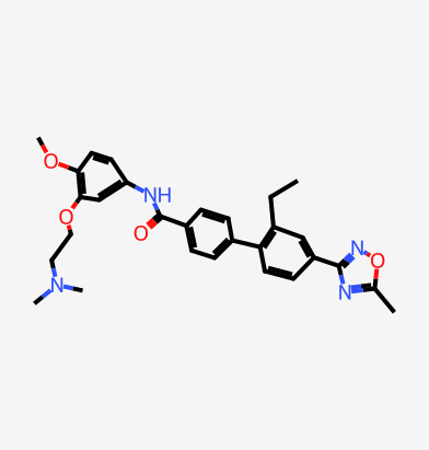 CCc1cc(-c2noc(C)n2)ccc1-c1ccc(C(=O)Nc2ccc(OC)c(OCCN(C)C)c2)cc1